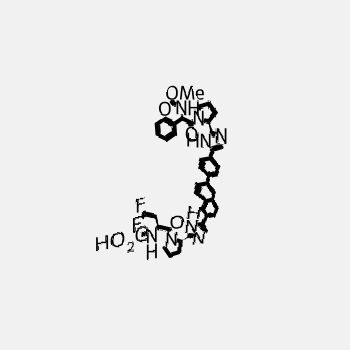 COC(=O)N[C@@H](C(=O)N1CCC[C@H]1c1ncc(-c2ccc(-c3ccc4cc(-c5cnc([C@@H]6CCCN6C(=O)[C@H](CC(F)F)NC(=O)O)[nH]5)ccc4c3)cc2)[nH]1)c1ccccc1